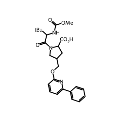 COC(=O)NC(C(=O)N1CC(COc2cccc(-c3ccccc3)n2)CC1C(=O)O)C(C)(C)C